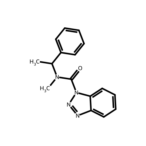 CC(c1ccccc1)N(C)C(=O)n1nnc2ccccc21